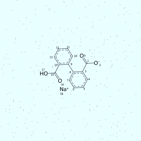 O=C([O-])c1ccccc1-c1ccccc1C(=O)O.[Na+]